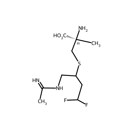 CC(=N)NCC(CC(F)F)SC[C@](C)(N)C(=O)O